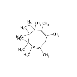 CC1=C(C)C(C)(C)C(C)(C)C(C)(C)C(C)=C(C)C1